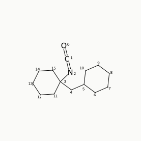 O=C=NC1(CC2CCCCC2)CC[CH]CC1